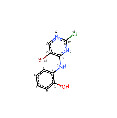 Oc1ccccc1Nc1nc(Cl)ncc1Br